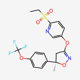 CCS(=O)(=O)c1ccc(OC2=NO[C@@](C)(c3ccc(OC(F)(F)F)cc3)C2)cn1